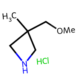 COCC1(C)CNC1.Cl